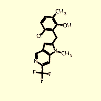 Cc1ccc(Cl)c(Cc2cc3cnc(C(F)(F)F)cc3n2C)c1O